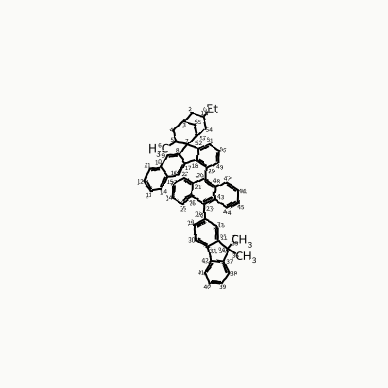 CCC1CC2CC(C)C3(c4cc5ccccc5cc4-c4c(-c5c6ccccc6c(-c6ccc7c(c6)C(C)(C)c6ccccc6-7)c6ccccc56)cccc43)C(C1)C2